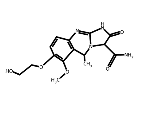 COc1c(OCCO)ccc2c1C(C)N1C(=N2)NC(=O)C1C(N)=O